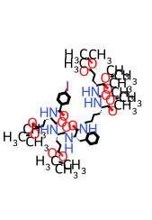 CC(C)(C)OC(=O)CC[C@H](NC(=O)c1ccc(I)cc1)C(=O)N[C@@H](CCC(=O)OC(C)(C)C)C(=O)N[C@@H](Cc1ccccc1)C(=O)NCCCC[C@H](NC(=O)N[C@@H](CCC(=O)OC(C)(C)C)C(=O)OC(C)(C)C)C(=O)OC(C)(C)C